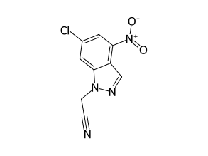 N#CCn1ncc2c([N+](=O)[O-])cc(Cl)cc21